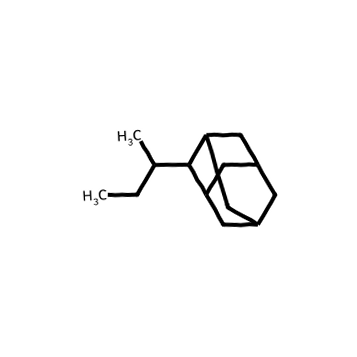 CCC(C)C1C2CC3CC(C2)CC1C3